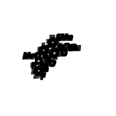 COc1ccc(-c2ccc(SC)cc2)cc1CN(C(=O)c1sc2c(F)ccc(F)c2c1Cl)[C@H]1CC[C@H](N(C)C(=O)OC(C)(C)C)CC1